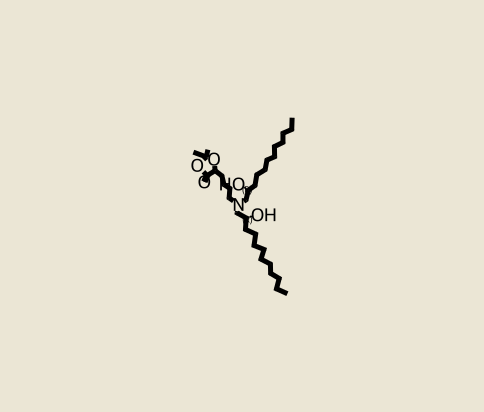 CCCCCCCCCC[C@@H](O)CN(CCCCC1OC(C)(C)OC1=O)C[C@H](O)CCCCCCCCCC